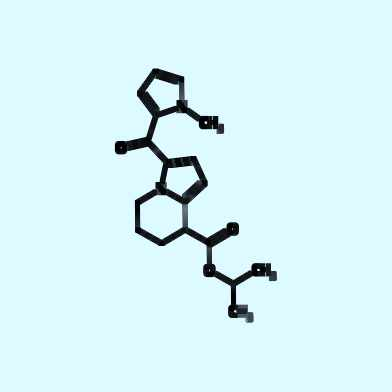 CC(C)OC(=O)C1CCCn2c(C(=O)c3cccn3C)ccc21